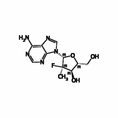 C[C@@]1(F)[C@H](O)[C@@H](CO)O[C@H]1n1cnc2c(N)ncnc21